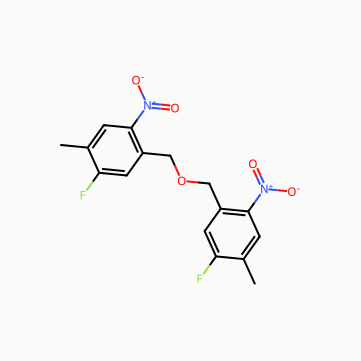 Cc1cc([N+](=O)[O-])c(COCc2cc(F)c(C)cc2[N+](=O)[O-])cc1F